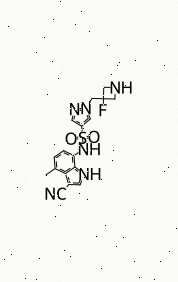 Cc1ccc(NS(=O)(=O)c2cnn(CC3(F)CNC3)c2)c2[nH]cc(C#N)c12